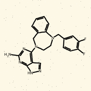 Nc1nc(N2CCN(Cc3ccc(F)c(F)c3)c3ccccc3C2)c2cn[nH]c2n1